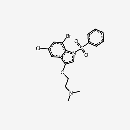 CN(C)CCOc1cn(S(=O)(=O)c2ccccc2)c2c(Br)cc(Cl)cc12